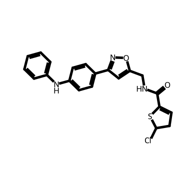 O=C(NCc1cc(-c2ccc(Nc3ccccc3)cc2)no1)C1=CCC(Cl)S1